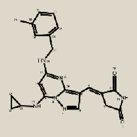 O=C1C/C(=C\c2cnn3c(NC4CC4)cc(NCc4cccc(I)c4)nc23)C(=O)N1